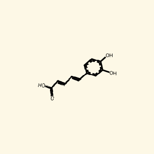 O=C(O)C=CC=Cc1ccc(O)c(O)c1